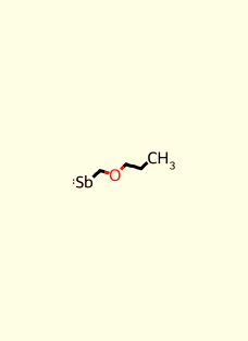 CCCO[CH2][Sb]